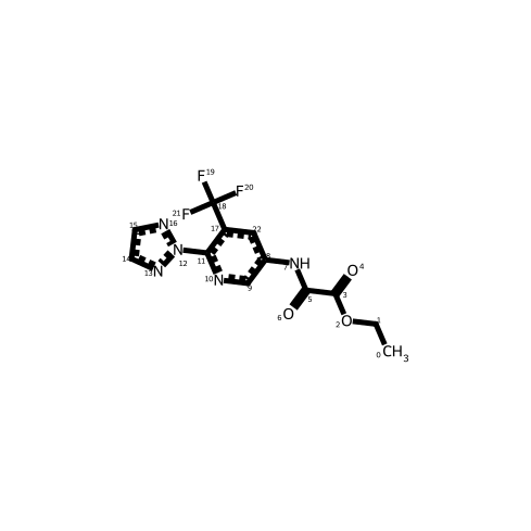 CCOC(=O)C(=O)Nc1cnc(-n2nccn2)c(C(F)(F)F)c1